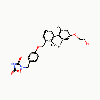 Cc1cc(OCCO)cc(C)c1-c1cccc(COc2ccc(Cn3oc(=O)[nH]c3=O)cc2)c1C